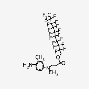 Cc1cc(N(C)CCC(=O)OCC(F)(F)C(F)(F)C(F)(F)C(F)(F)C(F)(F)C(F)(F)C(F)(F)C(F)(F)C(F)(F)F)ccc1N